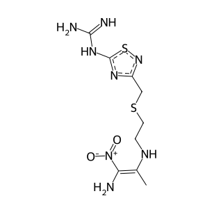 CC(NCCSCc1nsc(NC(=N)N)n1)=C(N)[N+](=O)[O-]